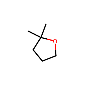 CC1(C)CCCO1